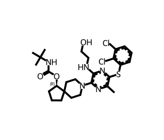 Cc1nc(N2CCC3(CCC[C@H]3OC(=O)NC(C)(C)C)CC2)c(NCCO)nc1Sc1cccc(Cl)c1Cl